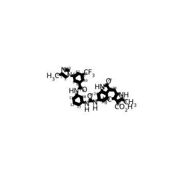 Cc1cn(-c2cc(C(=O)Nc3cccc(NC(=O)Nc4ccc5c(c4)NC(=O)C5=Cc4[nH]c(C)c(C(=O)O)c4C)c3)cc(C(F)(F)F)c2)cn1